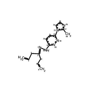 C=CCC(CC=C)=NNc1ccc(-n2ccnc2C)nn1